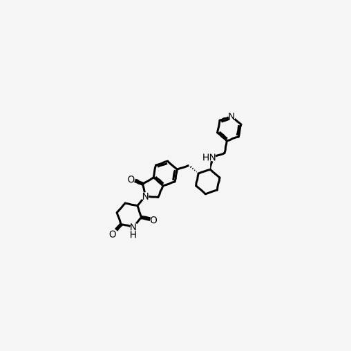 O=C1CCC(N2Cc3cc(C[C@H]4CCCC[C@@H]4NCc4ccncc4)ccc3C2=O)C(=O)N1